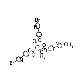 Cc1ccc(-c2ccc(OC(=O)C3(C)C=C(C(=O)Oc4ccc(-c5ccc(Br)cn5)cc4)C=C(C(=O)Oc4ccc(-c5ccc(Br)cn5)cc4)C3)cc2)nc1